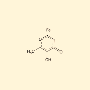 Cc1occc(=O)c1O.[Fe]